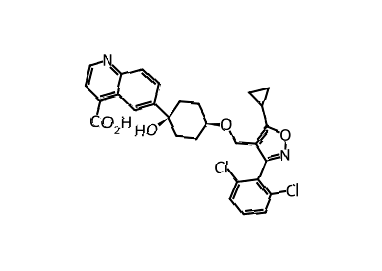 O=C(O)c1ccnc2ccc([C@]3(O)CC[C@@H](OCc4c(-c5c(Cl)cccc5Cl)noc4C4CC4)CC3)cc12